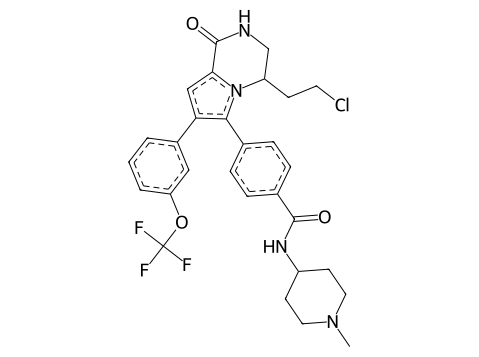 CN1CCC(NC(=O)c2ccc(-c3c(-c4cccc(OC(F)(F)F)c4)cc4n3C(CCCl)CNC4=O)cc2)CC1